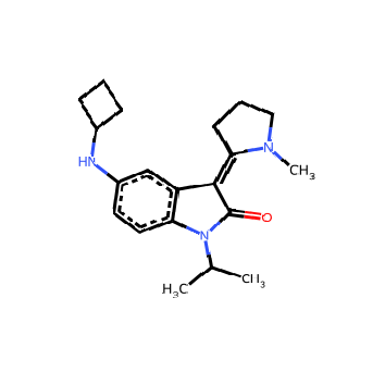 CC(C)N1C(=O)/C(=C2/CCCN2C)c2cc(NC3CCC3)ccc21